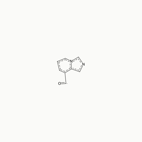 O=[C]c1cccn2cncc12